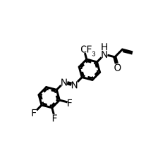 C=CC(=O)Nc1ccc(N=Nc2ccc(F)c(F)c2F)cc1C(F)(F)F